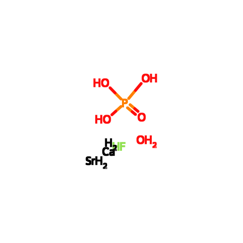 F.O.O=P(O)(O)O.[CaH2].[SrH2]